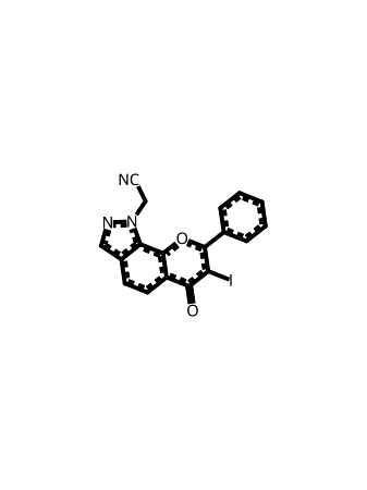 N#CCn1ncc2ccc3c(=O)c(I)c(-c4ccccc4)oc3c21